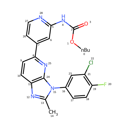 CCCCOC(=O)Nc1cc(-c2ccc3nc(C)n(-c4ccc(F)c(Cl)c4)c3n2)ccn1